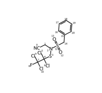 N#CCN(SC(Cl)(Cl)C(F)(Cl)Cl)S(=O)(=O)Cc1ccccc1